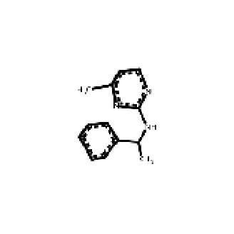 Cc1ccnc(NC(C)c2ccccc2)n1